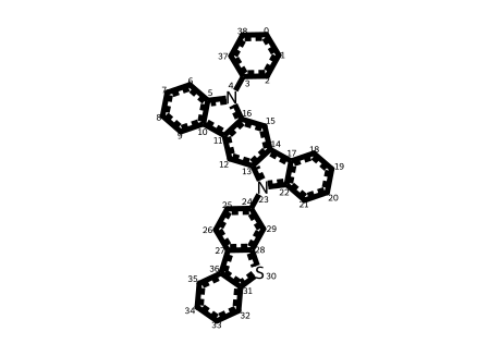 c1ccc(-n2c3ccccc3c3cc4c(cc32)c2ccccc2n4-c2ccc3c(c2)sc2ccccc23)cc1